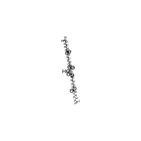 CC(C)CCCCCCC(=O)OCCCCCCCOC(=O)CC(O)C(=O)OCCCCCCCOC(=O)CCCCCCC(C)C